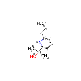 C=CCc1cccc(C(C)(C)O)n1